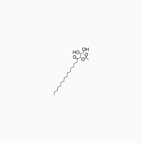 CCCCCCCCCCCCCCCC(=O)C(OC(C)=O)C(O)CO